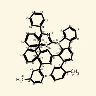 Cc1ccccc1-c1ccc2c3ccccc3n(-c3nc(-c4ccccc4)nc(-c4ccccc4)n3)c2c1-c1cc(C2=CC=CC(C)C2)cc(-c2ccccc2)c1